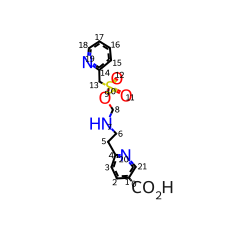 O=C(O)c1ccc(CCNCOS(=O)(=O)Cc2ccccn2)nc1